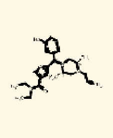 C=CCN1C[C@H](C)N([C@H](c2cccc(O)c2)c2cc(C(=O)N(CC)CC)cs2)C[C@H]1C